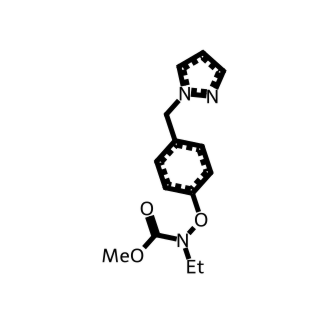 CCN(Oc1ccc(Cn2cccn2)cc1)C(=O)OC